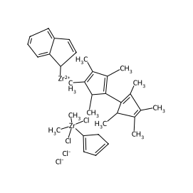 CC1=C(C)C(C)C(C2=C(C)C(C)=C(C)C2C)=C1C.[CH3][Zr]([CH3])([Cl])([Cl])[C]1=CC=CC1.[Cl-].[Cl-].[Zr+2][CH]1C=Cc2ccccc21